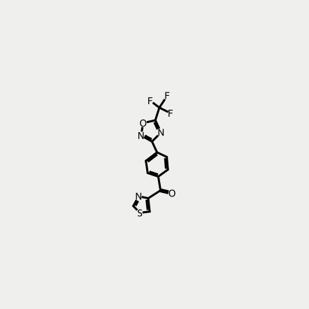 O=C(c1ccc(-c2noc(C(F)(F)F)n2)cc1)c1cscn1